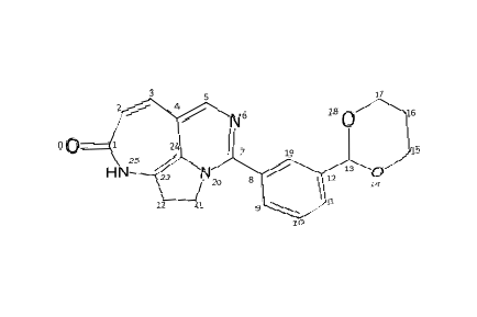 O=C1C=CC2=CN=C(c3cccc(C4OCCCO4)c3)N3CCC(=C23)N1